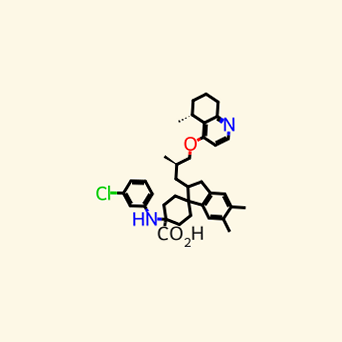 Cc1cc2c(cc1C)C1(CCC(Nc3cccc(Cl)c3)(C(=O)O)CC1)C(C[C@@H](C)COc1ccnc3c1[C@H](C)CCC3)C2